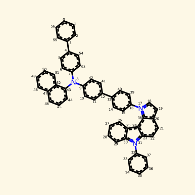 c1ccc(-c2ccc(N(c3ccc(-c4ccc(-n5ccc6ccc7c(c8ccccc8n7-c7ccccc7)c65)cc4)cc3)c3cccc4ccccc34)cc2)cc1